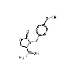 COc1ccc(CN2C(=O)OCC2[C@@H](C)O)cc1